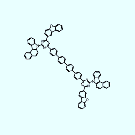 C1=CC2C(c3ccccc31)c1ccccc1N2c1nc(-c2ccc(-c3ccc(-c4ccc(-c5ccc(-c6nc(-c7ccc8c(c7)oc7ccccc78)nc(-n7c8ccccc8c8c9ccccc9ccc87)n6)cc5)cc4)cc3)cc2)nc(-c2ccc3oc4ccccc4c3c2)n1